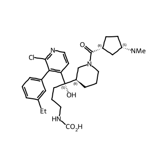 CCc1cccc(-c2c([C@](O)(CCCNC(=O)O)[C@@H]3CCCN(C(=O)[C@@H]4CC[C@H](NC)C4)C3)ccnc2Cl)c1